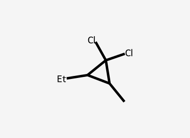 CCC1C(C)C1(Cl)Cl